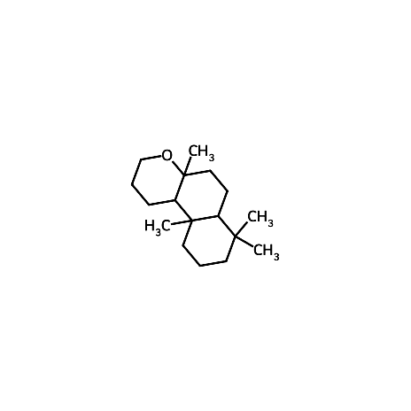 CC1(C)CCCC2(C)C1CCC1(C)OCCCC12